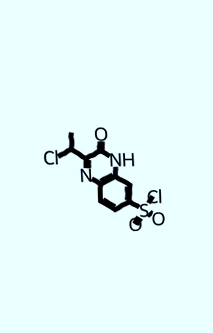 CC(Cl)c1nc2ccc(S(=O)(=O)Cl)cc2[nH]c1=O